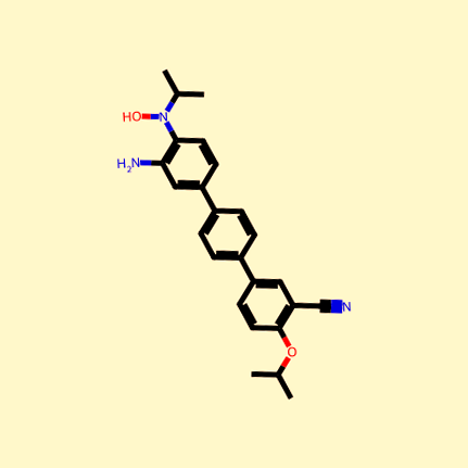 CC(C)Oc1ccc(-c2ccc(-c3ccc(N(O)C(C)C)c(N)c3)cc2)cc1C#N